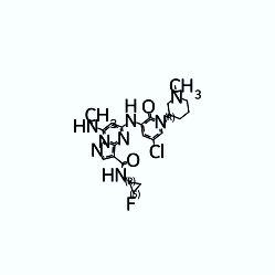 CNc1cc(Nc2cc(Cl)cn([C@@H]3CCCN(C)C3)c2=O)nc2c(C(=O)N[C@@H]3C[C@@H]3F)cnn12